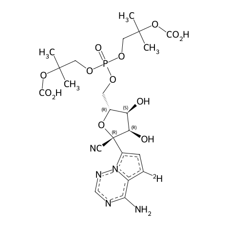 [2H]c1cc([C@]2(C#N)O[C@H](COP(=O)(OCC(C)(C)OC(=O)O)OCC(C)(C)OC(=O)O)[C@@H](O)[C@H]2O)n2ncnc(N)c12